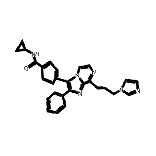 O=C(NC1CC1)c1ccc(-c2c(-c3ccccc3)nc3c(CCCn4ccnc4)nccn23)cc1